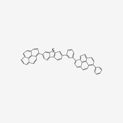 c1ccc(-c2ccc3ccc4c(-c5cccc(-c6ccc7c(c6)sc6cc(-c8ccc9ccc%10cccc%11ccc8c9c%10%11)ccc67)c5)ccc5ccc2c3c54)cc1